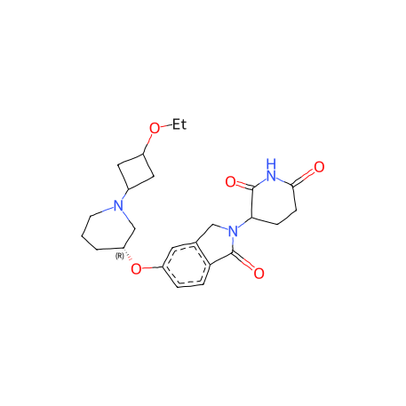 CCOC1CC(N2CCC[C@@H](Oc3ccc4c(c3)CN(C3CCC(=O)NC3=O)C4=O)C2)C1